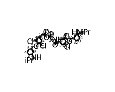 CC(C)Nc1cccc(COc2c(Cl)cc(CC(=O)OC(=O)CNC(=O)c3cc(Cl)c(OCc4cccc(NC(C)C)c4)c(Cl)c3)cc2Cl)c1